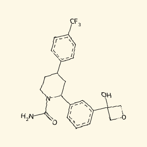 NC(=O)N1CCC(c2ccc(C(F)(F)F)cc2)CC1c1cccc(C2(O)COC2)c1